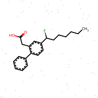 CCCCCCC(F)c1ccc(-c2ccccc2)c(CC(=O)O)c1